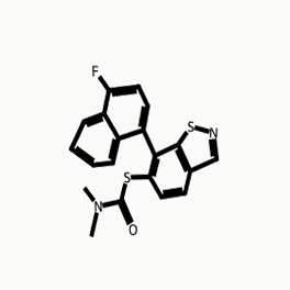 CN(C)C(=O)Sc1ccc2cnsc2c1-c1ccc(F)c2ccccc12